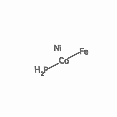 [Ni].[PH2][Co][Fe]